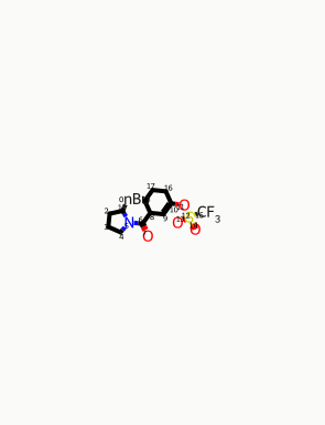 CCCCC1CCCN1C(=O)C1C=C(OS(=O)(=O)C(F)(F)F)CCC1